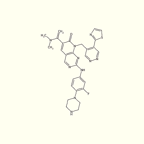 C=C(c1cc2cnc(Nc3ccc(N4CCNCC4)c(F)c3)nc2n(Cc2cnncc2-c2nccs2)c1=O)N(C)C